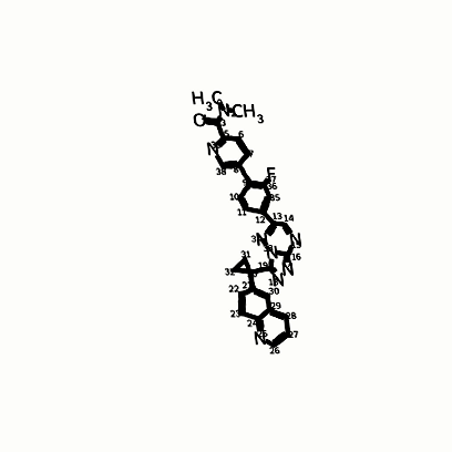 CN(C)C(=O)c1ccc(-c2ccc(-c3cnc4nnc(C5(c6ccc7ncccc7c6)CC5)n4n3)cc2F)cn1